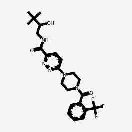 CC(C)(C)C(O)CNC(=O)c1ccc(N2CCN(C(=O)c3ccccc3C(F)(F)F)CC2)nn1